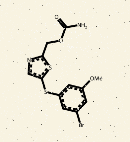 COc1cc(Br)cc(Sc2cnc(COC(N)=O)s2)c1